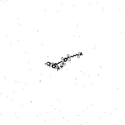 COc1cc(C(=O)NCCCCCC(=O)OC(C)(C)C)ccc1N(CC#Cc1cc2c(N[C@@H]3CCN(C)C[C@@H]3F)cccc2n1CC(F)(F)F)C(=O)OC(C)(C)C